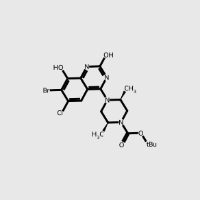 C[C@H]1CN(c2nc(O)nc3c(O)c(Br)c(Cl)cc23)[C@@H](C)CN1C(=O)OC(C)(C)C